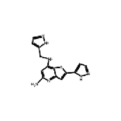 Nc1cc(NCc2ccn[nH]2)c2sc(-c3ccn[nH]3)cc2n1